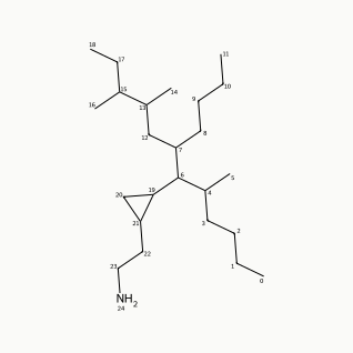 CCCCC(C)C(C(CCCC)CC(C)C(C)CC)C1CC1CCN